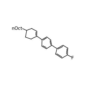 CCCCCCCCC1CC=C(c2ccc(-c3ccc(F)cc3)cc2)CC1